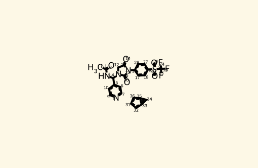 CC(=O)NC(c1ccncc1)N1CC(=O)N(c2ccc(S(=O)(=O)C(F)(F)F)cc2)C1=O.c1cc2cc-2c1